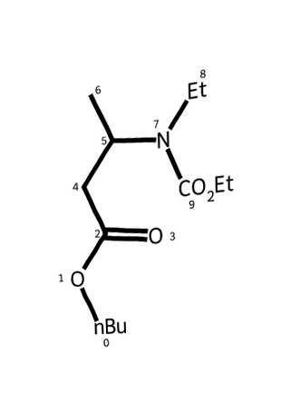 CCCCOC(=O)CC(C)N(CC)C(=O)OCC